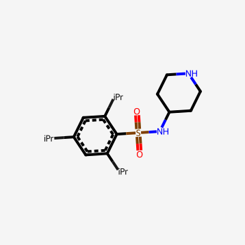 CC(C)c1cc(C(C)C)c(S(=O)(=O)NC2CCNCC2)c(C(C)C)c1